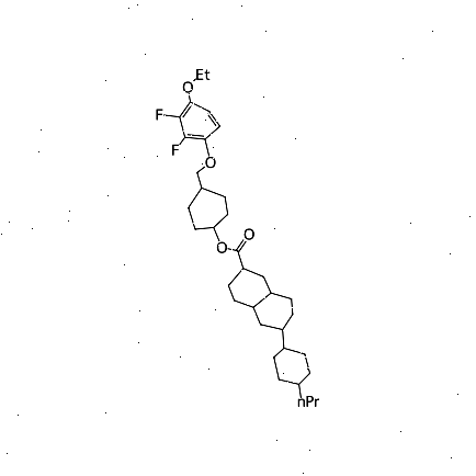 CCCC1CCC(C2CCC3CC(C(=O)OC4CCC(COc5ccc(OCC)c(F)c5F)CC4)CCC3C2)CC1